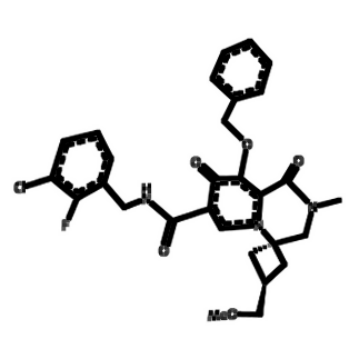 COC[C@H]1C[C@]2(CN(C)C(=O)c3c(OCc4ccccc4)c(=O)c(C(=O)NCc4cccc(Cl)c4F)cn32)C1